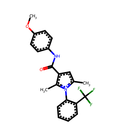 COc1ccc(NC(=O)c2cc(C)n(-c3ccccc3C(F)(F)F)c2C)cc1